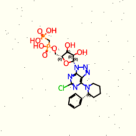 O=P(O)(O)CP(=O)(O)OC[C@H]1O[C@@H](n2nnc3c(N4CCCC[C@@H]4c4ccccc4)nc(Cl)nc32)[C@H](O)[C@@H]1O